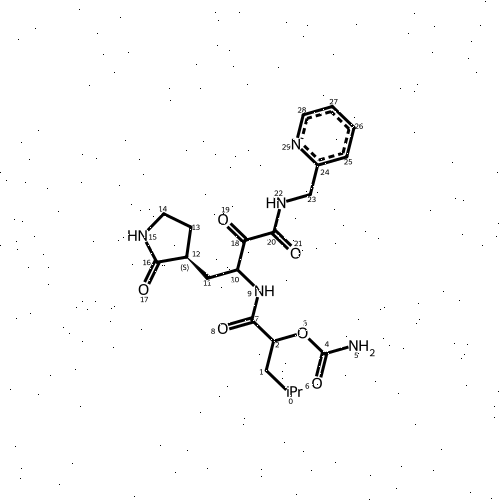 CC(C)CC(OC(N)=O)C(=O)NC(C[C@@H]1CCNC1=O)C(=O)C(=O)NCc1ccccn1